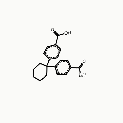 O=C(O)c1ccc(C2(c3ccc(C(=O)O)cc3)CCCCC2)cc1